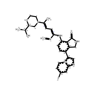 C=N/C(=C\C=C(/C)N1CCO[C@H]([C@H](C)O)C1)Nc1ccc(-c2cnc3cc(F)ccn23)c2c1C(=O)NC2